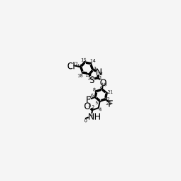 CNC(=O)Cc1c(F)cc(Oc2nc3ccc(Cl)cc3s2)cc1F